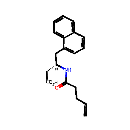 C=CCCC(=O)N[C@H](CC(=O)O)Cc1cccc2ccccc12